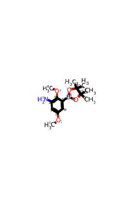 COc1cc(N)c(OC)c(B2OC(C)(C)C(C)(C)O2)c1